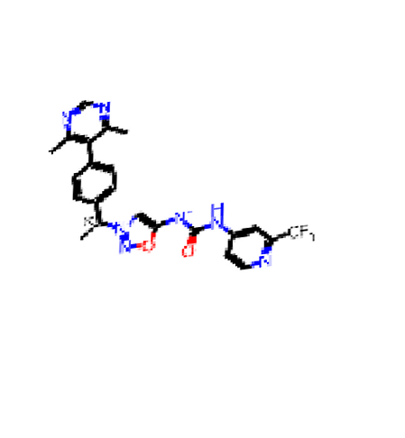 Cc1ncnc(C)c1-c1ccc([C@H](C)[n+]2cc([N-]C(=O)Nc3ccnc(C(F)(F)F)c3)on2)cc1